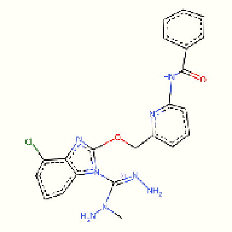 CN(N)/C(=N\N)n1c(OCc2cccc(NC(=O)c3ccccc3)n2)nc2c(Cl)cccc21